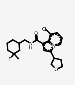 CC1(F)CCCC(CNC(=O)c2cc(C3CCOC3)n3cccc(Cl)c23)C1